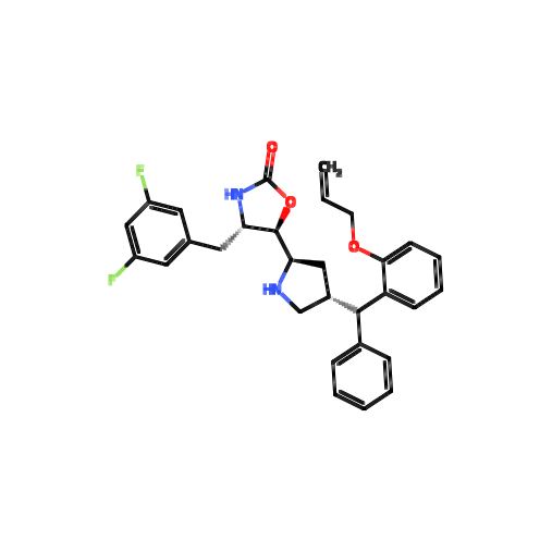 C=CCOc1ccccc1C(c1ccccc1)[C@@H]1CN[C@@H]([C@@H]2OC(=O)N[C@H]2Cc2cc(F)cc(F)c2)C1